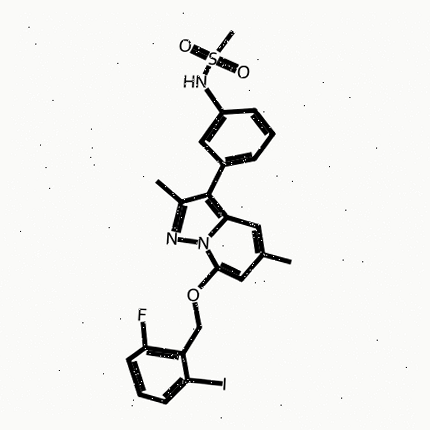 Cc1cc(OCc2c(F)cccc2I)n2nc(C)c(-c3cccc(NS(C)(=O)=O)c3)c2c1